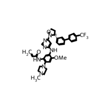 C=CC(=O)Nc1cc(Nc2cc(N3OCC[C@@H]3c3cccc(-c4ccc(C(F)(F)F)cc4)c3)ncn2)c(OC)cc1N1CCN(C)CC1